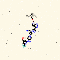 C[Si](C)(C)CCOCn1ccc2c(-c3cnn([C@]4(CC#N)C[C@H](N5CCC(Nc6cc(CO)cc(C(F)(F)F)n6)CC5)C4)c3)ncnc21